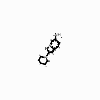 Nc1ccc2cc(N3CCCCC3)nn2c1